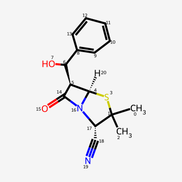 CC1(C)S[C@@H]2[C@H](C(O)c3ccccc3)C(=O)N2[C@H]1C#N